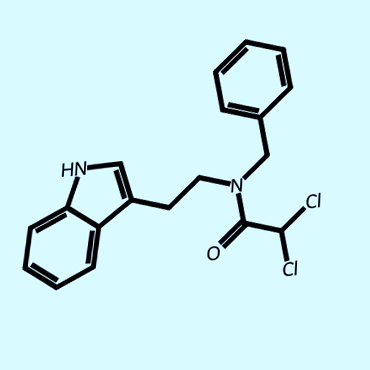 O=C(C(Cl)Cl)N(CCc1c[nH]c2ccccc12)Cc1ccccc1